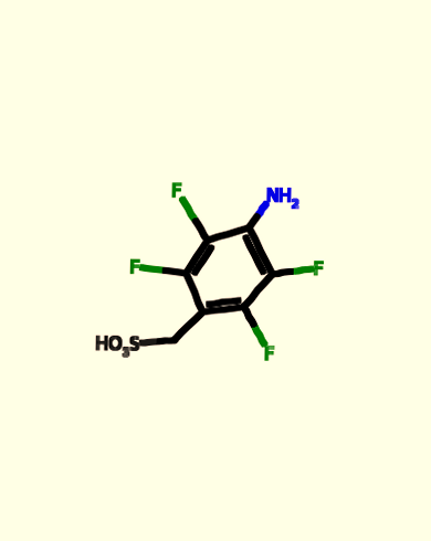 Nc1c(F)c(F)c(CS(=O)(=O)O)c(F)c1F